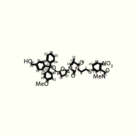 CNC(=O)c1cc(SCCn2c(=O)c(C)cn([C@H]3CC[C@@H](COC(c4ccccc4)(c4ccc(CO)cc4)c4ccc(OC)cc4)O3)c2=O)ccc1[N+](=O)[O-]